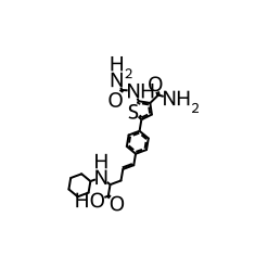 NC(=O)Nc1sc(-c2ccc(C=CCC(NC3CCCCC3)C(=O)O)cc2)cc1C(N)=O